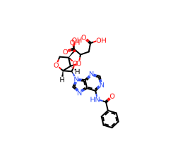 O=C(O)CC(O[C@H]1[C@H]2OC[C@]1(CO)O[C@H]2n1cnc2c(NC(=O)c3ccccc3)ncnc21)C(=O)O